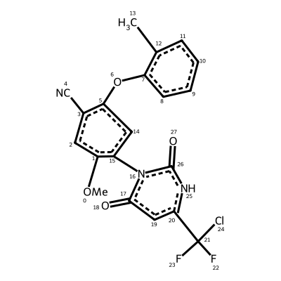 COc1cc(C#N)c(Oc2ccccc2C)cc1-n1c(=O)cc(C(F)(F)Cl)[nH]c1=O